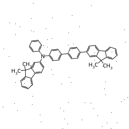 CC1(C)c2ccccc2-c2ccc(-c3ccc(-c4ccc(N(c5ccccc5)c5ccc6c(c5)C(C)(C)c5ccccc5-6)cc4)cc3)cc21